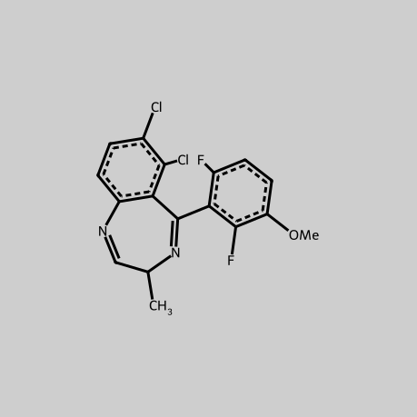 COc1ccc(F)c(C2=NC(C)C=Nc3ccc(Cl)c(Cl)c32)c1F